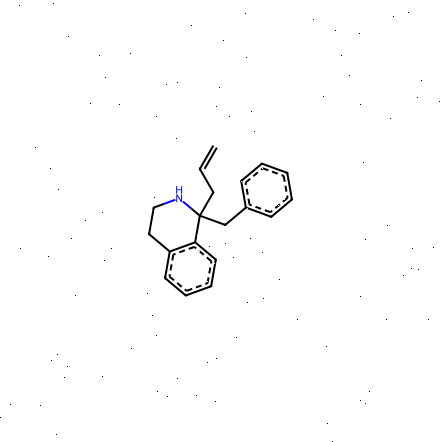 C=CCC1(Cc2ccccc2)NCCc2ccccc21